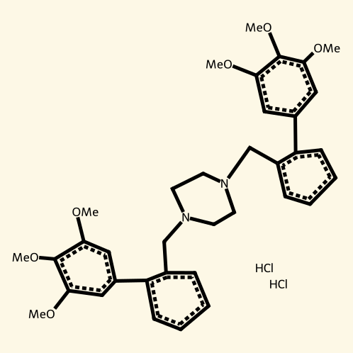 COc1cc(-c2ccccc2CN2CCN(Cc3ccccc3-c3cc(OC)c(OC)c(OC)c3)CC2)cc(OC)c1OC.Cl.Cl